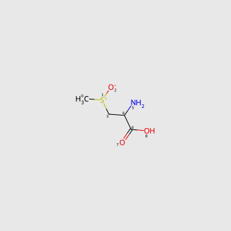 C[S+]([O-])CC(N)C(=O)O